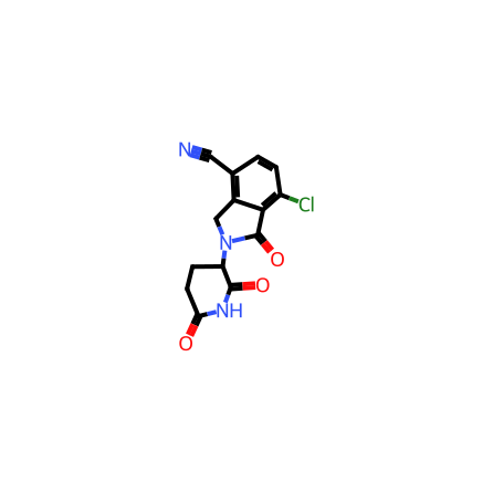 N#Cc1ccc(Cl)c2c1CN(C1CCC(=O)NC1=O)C2=O